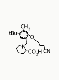 Cc1cc(OCCCCC#N)c(CN2CCCC[C@H]2C(=O)O)cc1C(C)(C)C